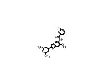 CCOc1cc2nc(C3CC(C)OC(C)C3)cn2cc1NC(=O)c1cccc(C(F)(F)F)n1